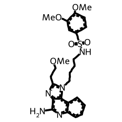 COCCc1nc2c(N)nc3ccccc3c2n1CCCCNS(=O)(=O)c1ccc(OC)c(OC)c1